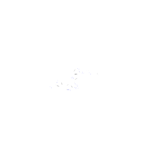 CN1CCN(c2nccc3[nH]c(-c4n[nH]c5ncc(-c6cncc(CN7CCCCC7)c6)cc45)cc23)CC1